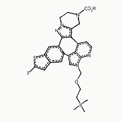 Cc1cn(COCC[Si](C)(C)C)c2nccc(-c3c(-c4ccc5cc(F)sc5c4)nn4c3CN(C(=O)O)CC4)c12